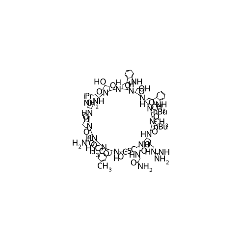 CCCC[C@H]1C(=O)N(C)[C@@H](CCCC)C(=O)N[C@@H](CCCNC(=N)N)C(=O)N[C@H](C(=O)NCC(N)=O)CSCC(=O)N[C@@H](Cc2cccc(C)c2)C(=O)N(C)[C@@H](C)C(=O)N[C@@H](CC(N)=O)C(=O)N2CCC[C@H]2C(=O)N[C@@H](CN)C(=O)N[C@@H](CC(C)C)C(=O)N2C[C@H](O)CC2C(=O)N[C@@H](Cc2c[nH]c3ccccc23)C(=O)N[C@@H](CO)C(=O)N[C@@H](Cc2c[nH]c3ccccc23)C(=O)N1C